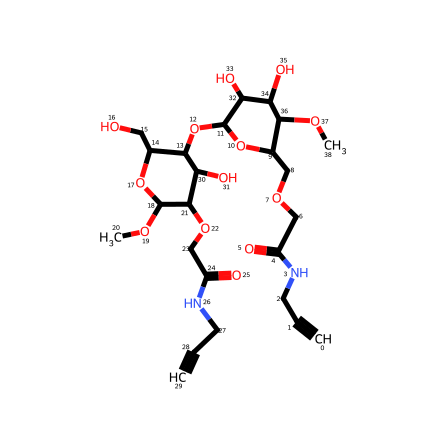 C#CCNC(=O)COCC1OC(OC2C(CO)OC(OC)C(OCC(=O)NCC#C)C2O)C(O)C(O)C1OC